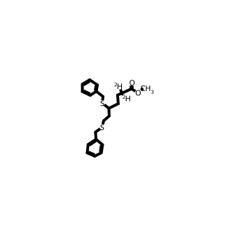 [2H]C([2H])(CCC(CCSCc1ccccc1)SCc1ccccc1)C(=O)OC